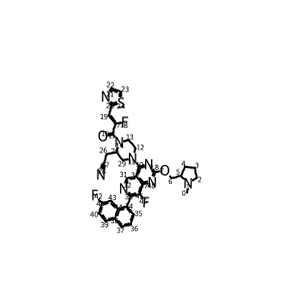 CN1CCCC1COc1nc(N2CCN(C(=O)/C(F)=C/c3nccs3)C(CC#N)C2)c2cnc(-c3cccc4ccc(F)cc34)c(F)c2n1